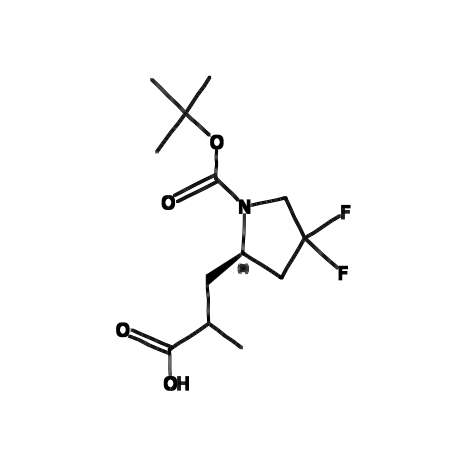 CC(C[C@@H]1CC(F)(F)CN1C(=O)OC(C)(C)C)C(=O)O